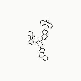 C1=CC2C=Cc3cc(-c4nc(-c5ccc6cc(-c7cccc8oc9ccccc9c78)ccc6c5)nc(-c5cccc6c5oc5ccccc56)n4)ccc3C2C=C1